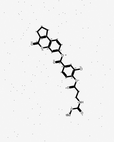 CC(C)(C)OC(=O)NCCC(=O)Oc1ccc(C(=O)Oc2ccc3c4c(c(=O)oc3c2)CCC4)cc1Cl